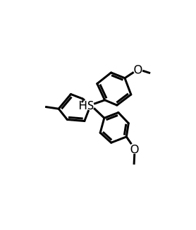 COc1ccc([SH]2(c3ccc(OC)cc3)=CC=C(C)C=C2)cc1